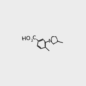 Cc1ccc(C(=O)O)cc1N1CCC(C)C1